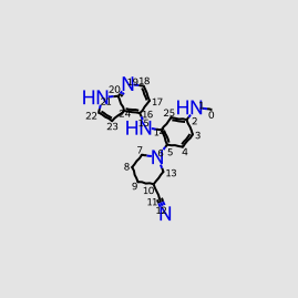 CNc1ccc(N2CCCC(C#N)C2)c(Nc2ccnc3[nH]ccc23)c1